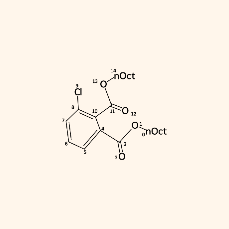 CCCCCCCCOC(=O)c1cccc(Cl)c1C(=O)OCCCCCCCC